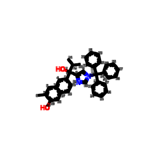 Cc1cc2cc(C(O)(c3cn(C(c4ccccc4)(c4ccccc4)c4ccccc4)cn3)C(C)C)ccc2cc1O